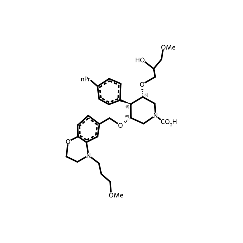 CCCc1ccc([C@@H]2[C@@H](OCc3ccc4c(c3)N(CCCOC)CCO4)CN(C(=O)O)C[C@H]2OCC(O)COC)cc1